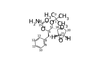 CC(C)(C)OC([C@@H](Cc1ccccc1)OC(N)=O)[C@@H]1OC[C@@H]2O[C@@H]21